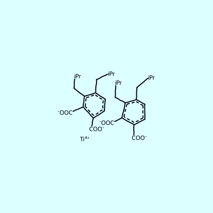 CC(C)Cc1ccc(C(=O)[O-])c(C(=O)[O-])c1CC(C)C.CC(C)Cc1ccc(C(=O)[O-])c(C(=O)[O-])c1CC(C)C.[Ti+4]